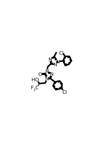 Cc1nc(Cn2nc(-c3ccc(Cl)cc3)n(C[C@H](O)C(F)(F)F)c2=O)nn1-c1ccccc1Cl